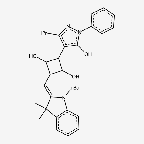 CCCCN1C(=CC2C(O)C(c3c(C(C)C)nn(-c4ccccc4)c3O)C2O)C(C)(C)c2ccccc21